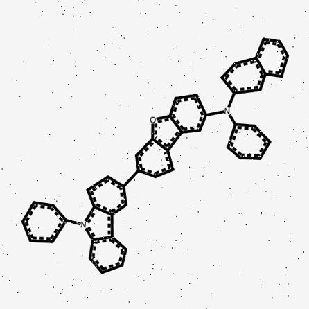 c1ccc(N(c2ccc3ccccc3c2)c2ccc3oc4cc(-c5ccc6c(c5)c5ccccc5n6-c5ccccc5)ccc4c3c2)cc1